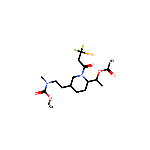 CC(OC(=O)C(C)(C)C)C1CCC(CCN(C)C(=O)OC(C)(C)C)CN1C(=O)CC(F)(F)P